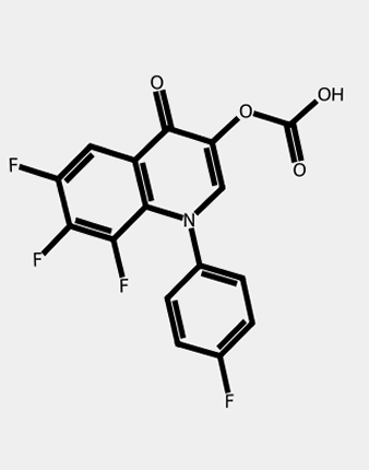 O=C(O)Oc1cn(-c2ccc(F)cc2)c2c(F)c(F)c(F)cc2c1=O